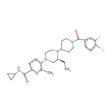 CC[C@H]1CN(c2ccc(C(=O)NC3CC3)nc2C)CCN1C1CCN(C(=O)c2ccc(F)c(F)c2)CC1